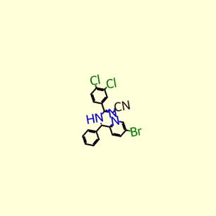 N#C/N=C(/N[C@@H](c1ccccc1)c1ccc(Br)cn1)c1ccc(Cl)c(Cl)c1